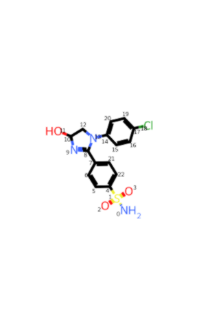 NS(=O)(=O)c1ccc(C2=NC(O)CN2c2ccc(Cl)cc2)cc1